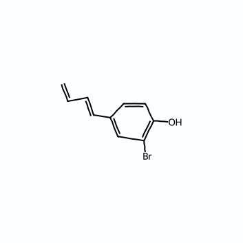 C=C/C=C/c1ccc(O)c(Br)c1